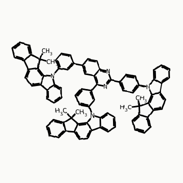 CC1(C)c2ccccc2-c2ccc3c4ccccc4n(-c4ccc(-c5nc(-c6cccc(-n7c8ccccc8c8ccc9c(c87)C(C)(C)c7ccccc7-9)c6)c6cc(-c7cccc(-n8c9ccccc9c9ccc%10c(c98)C(C)(C)c8ccccc8-%10)c7)ccc6n5)cc4)c3c21